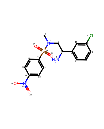 CN(C[C@H](N)c1cccc(Cl)c1)S(=O)(=O)c1ccc([N+](=O)[O-])cc1